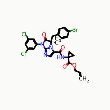 C=CCOC(=O)C1(NC(=O)c2cnc3n2[C@](C)(Cc2ccc(Br)cc2)C(=O)N3c2cc(Cl)cc(Cl)c2)CC1